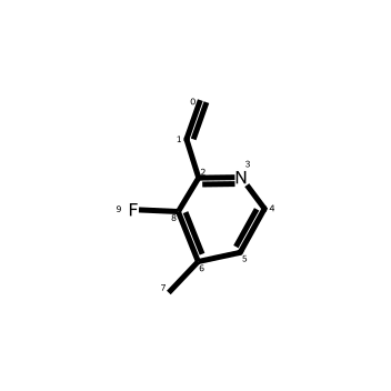 C=Cc1nccc(C)c1F